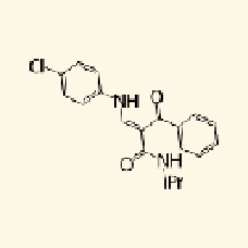 CC(C)NC(=O)C(=CNc1ccc(Cl)cc1)C(=O)c1ccccc1